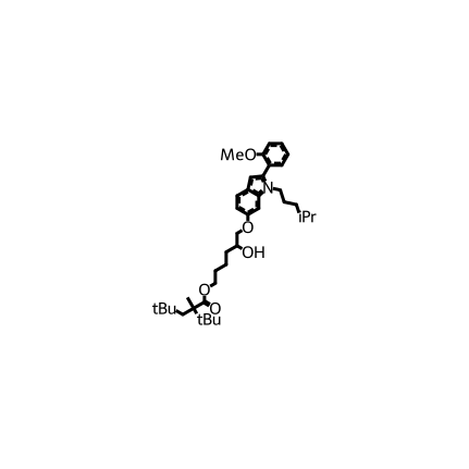 COc1ccccc1-c1cc2ccc(OCC(O)CCCCOC(=O)C(C)(CC(C)(C)C)C(C)(C)C)cc2n1CCCC(C)C